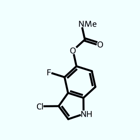 CNC(=O)Oc1ccc2[nH]cc(Cl)c2c1F